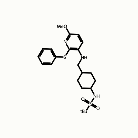 COc1ccc(NCC2CCC(NS(=O)(=O)C(C)(C)C)CC2)c(Sc2ccccc2)n1